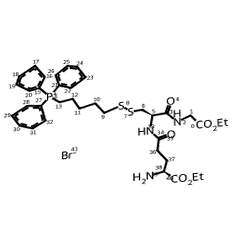 CCOC(=O)CNC(=O)[C@H](CSSCCCCC[P+](c1ccccc1)(c1ccccc1)c1ccccc1)NC(=O)CC[C@H](N)C(=O)OCC.[Br-]